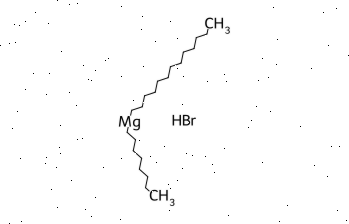 Br.CCCCCCCCCCCC[CH2][Mg][CH2]CCCCCCC